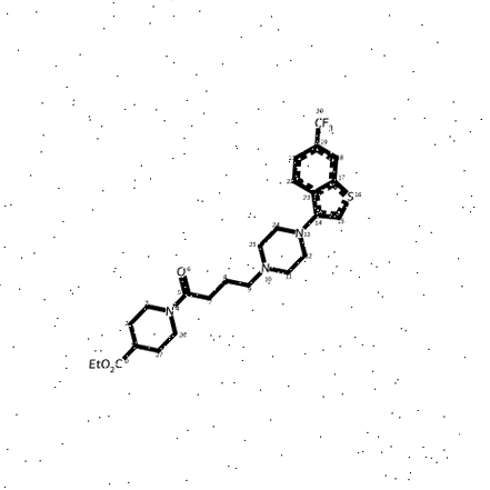 CCOC(=O)C1CCN(C(=O)CCCN2CCN(c3csc4cc(C(F)(F)F)ccc34)CC2)CC1